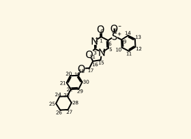 O=c1nc2n(cc1[S+]([O-])c1ccccc1)CC(COc1ccc(C3CCCCC3)cc1)O2